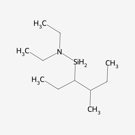 CCC(C)C(CC)[SiH2]N(CC)CC